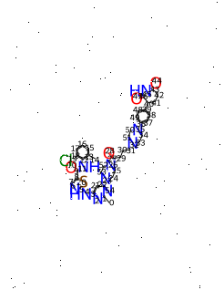 Cc1nc(Nc2ncc(C(=O)Nc3c(C)cccc3Cl)s2)cc(N2CCN(C(=O)CCCN3CCN(c4ccc(C5CCC(=O)NC5=O)cc4)CC3)CC2)n1